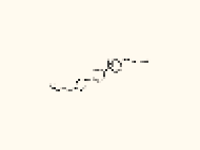 C=CCCCc1ccc(-c2ccc(C3CCC(CCC=O)CC3)cc2)nc1